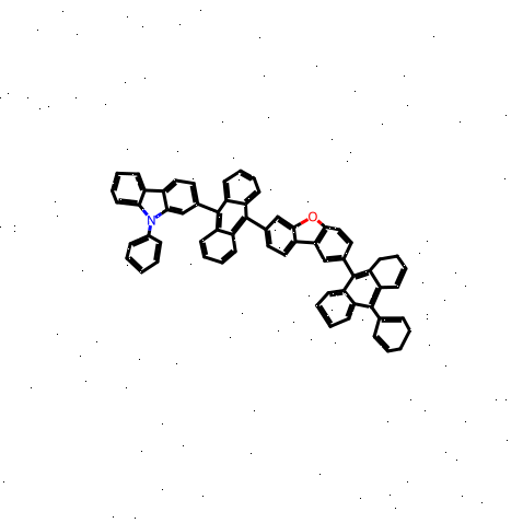 C1=CC(c2c3c(c(-c4ccc5oc6cc(-c7c8ccccc8c(-c8ccc9c%10ccccc%10n(-c%10ccccc%10)c9c8)c8ccccc78)ccc6c5c4)c4ccccc24)CCC=C3)=CCC1